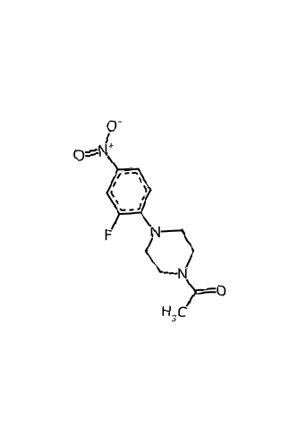 CC(=O)N1CCN(c2ccc([N+](=O)[O-])cc2F)CC1